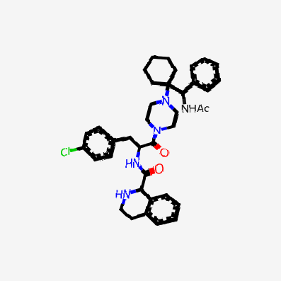 CC(=O)NC(c1ccccc1)C1(N2CCN(C(=O)C(Cc3ccc(Cl)cc3)NC(=O)C3NCCc4ccccc43)CC2)CCCCC1